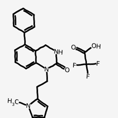 Cn1cccc1CCN1C(=O)NCc2c(-c3ccccc3)cccc21.O=C(O)C(F)(F)F